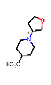 O=C(O)C1CCN([C@H]2CCOC2)CC1